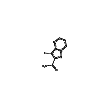 NC(=O)c1nn2cccnc2c1F